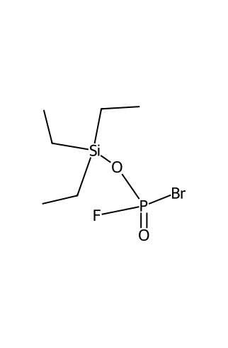 CC[Si](CC)(CC)OP(=O)(F)Br